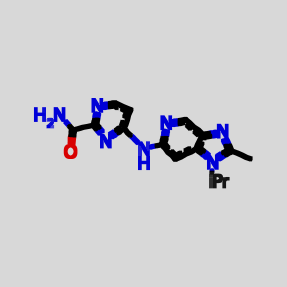 Cc1nc2cnc(Nc3ccnc(C(N)=O)n3)cc2n1C(C)C